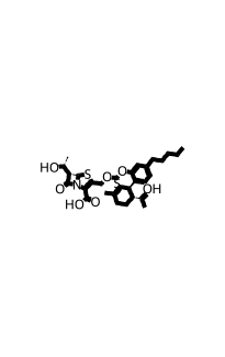 C=C(C)[C@@H]1CCC(C)=C[C@H]1c1c(O)cc(CCCCC)cc1OC(=S)OCC1=C(C(=O)O)N2C(=O)[C@H]([C@@H](C)O)C2S1